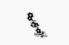 CN([C@@]1(C)C[C@@H](n2ccc3c(N[C@H]4CCc5ccccc54)ncnc32)C[C@@H]1O)S(=O)(=O)O